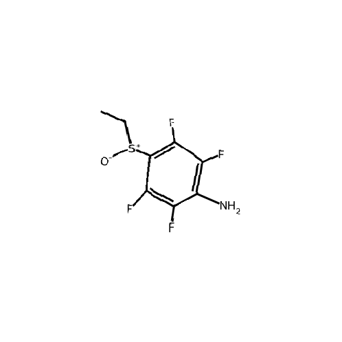 CC[S+]([O-])c1c(F)c(F)c(N)c(F)c1F